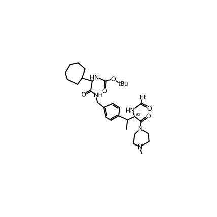 CCC(=O)N[C@@H](C(=O)N1CCN(C)CC1)C(C)c1ccc(CNC(=O)C(NC(=O)OC(C)(C)C)C2CCCCCC2)cc1